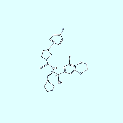 O=C(N[C@H](CN1CCCC1)[C@H](O)c1cc(F)c2c(c1)OCCO2)C1CCN(c2ccc(F)cc2)C1